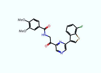 COc1ccc(C(=O)NCC(=O)c2cncc(-c3csc4c(F)cccc34)n2)cc1OC